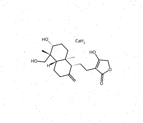 C=C1CC[C@@H]2[C@](C)(CO)[C@H](O)CC[C@@]2(C)[C@@H]1CCC1=C(O)COC1=O.[CaH2]